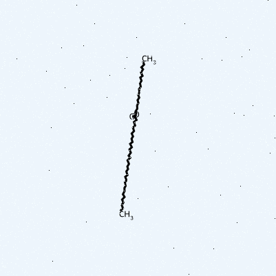 CCCCCCCCCCCCCCCCCCCCCCCCCCCCCCCCCCCC(=O)OCCCCCCCCCCCCCCCCCCCC